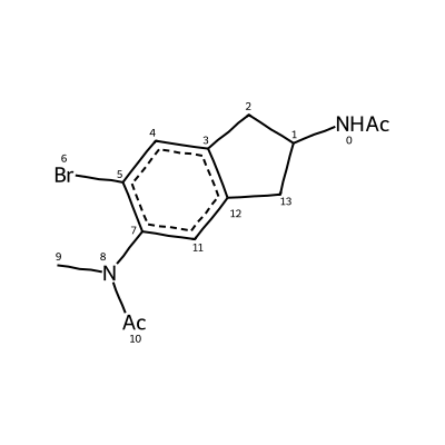 CC(=O)NC1Cc2cc(Br)c(N(C)C(C)=O)cc2C1